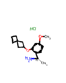 COc1ccc([C@H](C)N)c(OC2CC3(CCC3)C2)c1.Cl